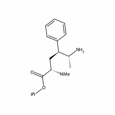 CN[C@@H](C[C@@H](c1ccccc1)[C@@H](C)N)C(=O)OC(C)C